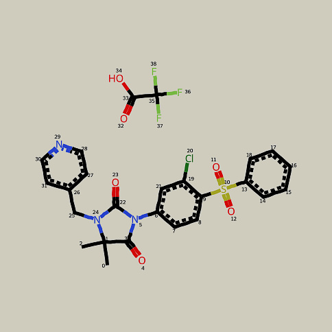 CC1(C)C(=O)N(c2ccc(S(=O)(=O)c3ccccc3)c(Cl)c2)C(=O)N1Cc1ccncc1.O=C(O)C(F)(F)F